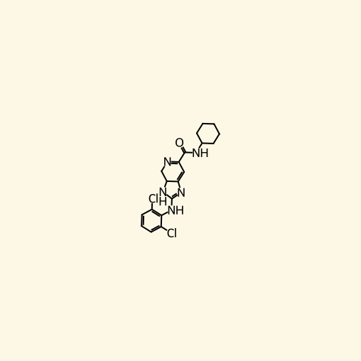 O=C(NC1CCCCC1)C1=NCC2NC(Nc3c(Cl)cccc3Cl)=NC2=C1